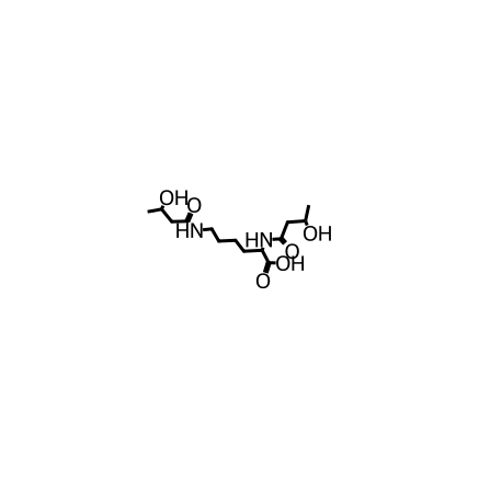 CC(O)CC(=O)NCCCCC(NC(=O)CC(C)O)C(=O)O